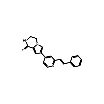 O=C1NCCn2cc(-c3ccnc(C=Cc4ccccc4)c3)cc21